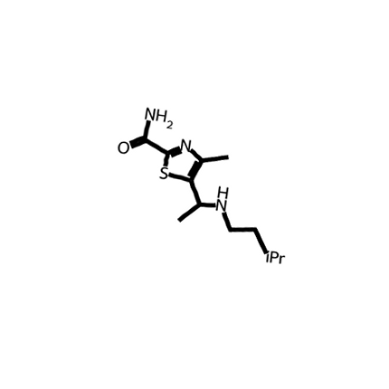 Cc1nc(C(N)=O)sc1C(C)NCCC(C)C